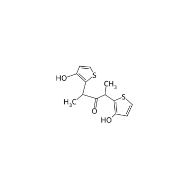 CC(C(=O)C(C)c1sccc1O)c1sccc1O